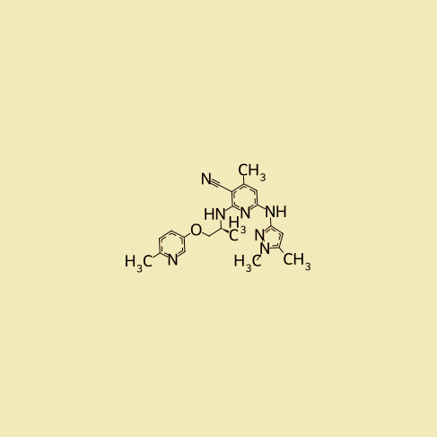 Cc1ccc(OC[C@H](C)Nc2nc(Nc3cc(C)n(C)n3)cc(C)c2C#N)cn1